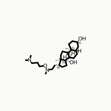 CN(C)CCCON(C)CC[C@H]1CC[C@]2(O)[C@@H]3CC[C@@H]4C[C@@H](O)CC[C@]4(C)[C@H]3CC[C@]12C